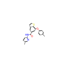 Cc1ccc(Oc2cc(C(=O)Nc3ccc(C)cn3)cc3ccsc23)cc1